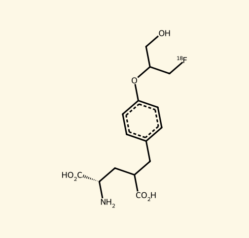 N[C@@H](CC(Cc1ccc(OC(CO)C[18F])cc1)C(=O)O)C(=O)O